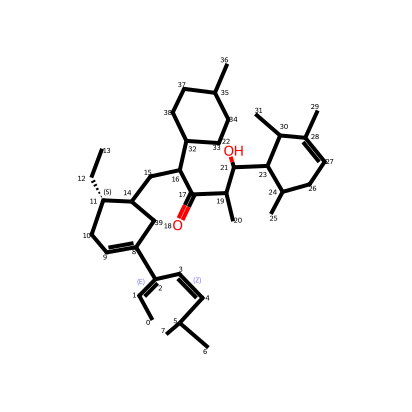 C/C=C(\C=C/C(C)C)C1=CC[C@H](CC)C(CC(C(=O)C(C)C(O)C2C(C)CC=C(C)C2C)C2CCC(C)CC2)C1